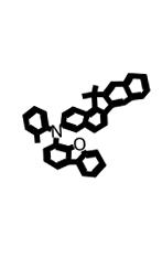 Cc1ccccc1N(c1ccc2c3c(ccc2c1)-c1cc2ccccc2cc1C3(C)C)c1cccc2c1oc1ccccc12